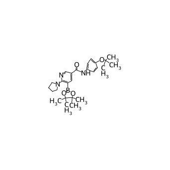 CC(C)(C)Oc1ccc(NC(=O)c2cnc(N3CCCC3)c(B3OC(C)(C)C(C)(C)O3)c2)cc1